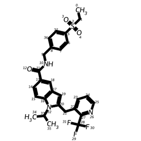 CCS(=O)(=O)c1ccc(CNC(=O)c2ccc3c(c2)cc(Cc2cccnc2C(F)(F)F)n3C(C)C)cc1